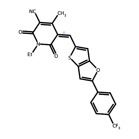 CCN1C(=O)C(C#N)=C(C)/C(=C/c2cc3oc(-c4ccc(C(F)(F)F)cc4)cc3s2)C1=O